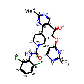 CSc1ncc(C(=O)COc2ccnc(C(F)(F)F)n2)c(C2CCN(C(=O)Nc3c(F)cccc3F)CC2)n1